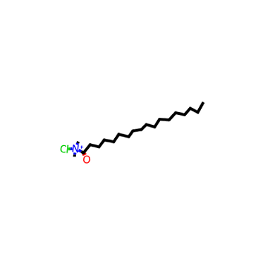 CCCCCCCCCCCCCCCCCC(=O)[N+](C)(C)Cl